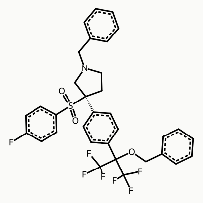 O=S(=O)(c1ccc(F)cc1)[C@]1(c2ccc(C(OCc3ccccc3)(C(F)(F)F)C(F)(F)F)cc2)CCN(Cc2ccccc2)C1